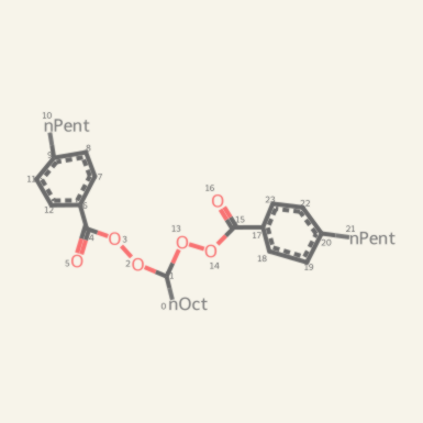 [CH2]CCCCCCC[C](OOC(=O)c1ccc(CCCCC)cc1)OOC(=O)c1ccc(CCCCC)cc1